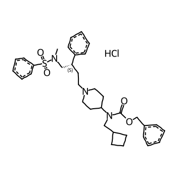 CN(C[C@@H](CCN1CCC(N(CC2CCC2)C(=O)OCc2ccccc2)CC1)c1ccccc1)S(=O)(=O)c1ccccc1.Cl